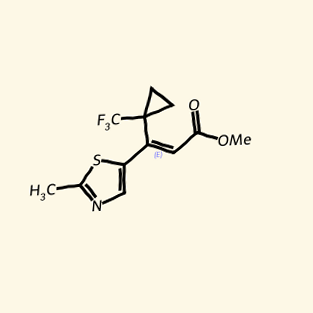 COC(=O)/C=C(/c1cnc(C)s1)C1(C(F)(F)F)CC1